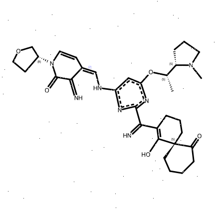 C[C@H](Oc1cc(N/C=C2/C=CN([C@@H]3CCOC3)C(=O)C2=N)nc(C(=N)C2=C(O)[C@]3(CCCCC3=O)CCC2)n1)[C@@H]1CCCN1C